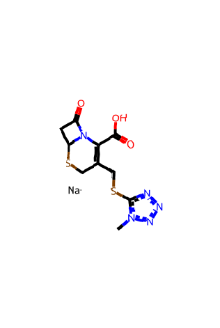 Cn1nnnc1SCC1=C(C(=O)O)N2C(=O)CC2SC1.[Na]